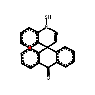 O=C1c2ccccc2C2(c3ccccc31)c1ccccc1N(S)c1ccccc12